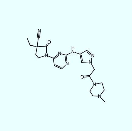 CC[C@]1(C#N)CCN(c2ccnc(Nc3cnn(CC(=O)N4CCN(C)CC4)c3)n2)C1=O